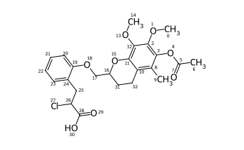 COc1c(OC(C)=O)c(C)c2c(c1OC)OC(COc1ccccc1CC(Cl)C(=O)O)CC2